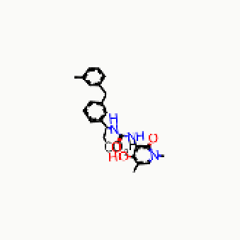 Cc1cccc(Cc2cccc(C(CC(=O)O)NC(=O)Nc3c(O)c(C)cn(C)c3=O)c2)c1